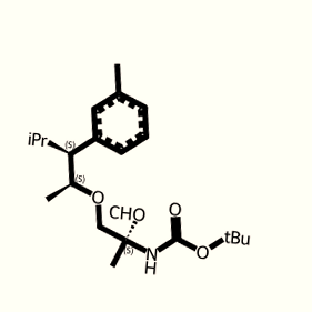 Cc1cccc([C@H](C(C)C)[C@H](C)OC[C@@](C)(C=O)NC(=O)OC(C)(C)C)c1